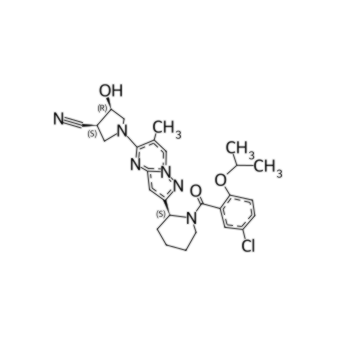 Cc1cn2nc([C@@H]3CCCCN3C(=O)c3cc(Cl)ccc3OC(C)C)cc2nc1N1C[C@@H](C#N)[C@@H](O)C1